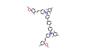 CCOc1ccc(/C=C/c2ccc(N(c3ccc(-c4ccc(-c5ccc(N(c6ccc(/C=C/c7ccc(C)cc7OCC)cc6)c6c(C)cc(C)cc6C)cc5)cc4)cc3)c3c(C)cc(C)cc3C)cc2)c(C)c1